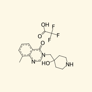 Cc1cccc2c(=O)n(CC3(O)CCNCC3)cnc12.O=C(O)C(F)(F)F